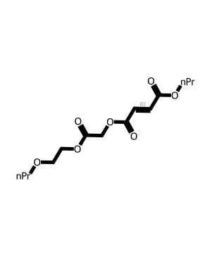 CCCOCCOC(=O)COC(=O)/C=C/C(=O)OCCC